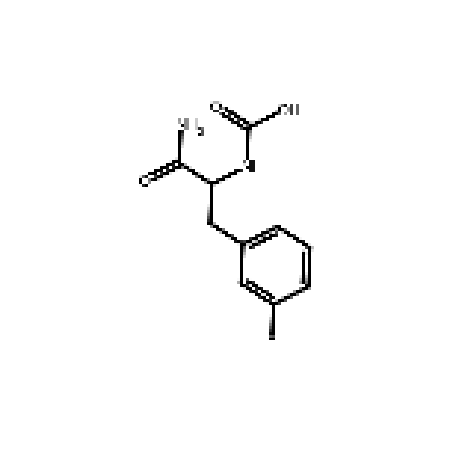 NC(=O)C(Cc1cccc(F)c1)NC(=O)O